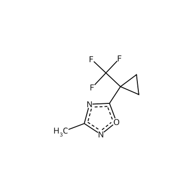 Cc1noc(C2(C(F)(F)F)CC2)n1